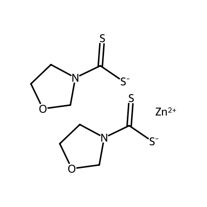 S=C([S-])N1CCOC1.S=C([S-])N1CCOC1.[Zn+2]